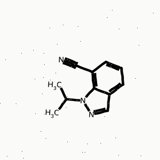 CC(C)n1ncc2cccc(C#N)c21